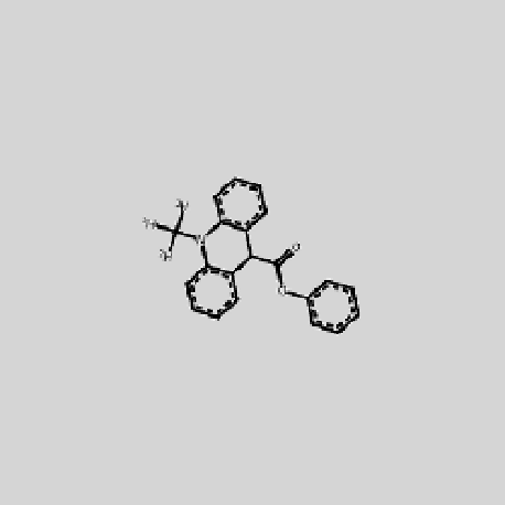 [2H]C([2H])([2H])N1c2ccccc2C(C(=O)Oc2ccccc2)c2ccccc21